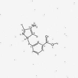 COC(=O)c1cccc(Cn2nc(C)c(N)c2C)c1